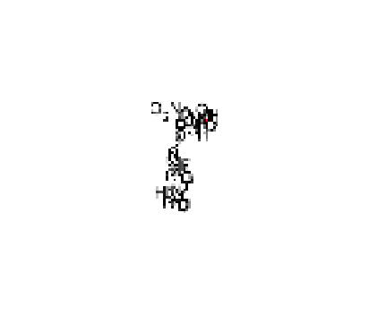 O=C(c1cc(Cc2n[nH]c(=O)c3ccccc23)ccc1F)N1CCN(CCCOc2ccc3c([N+](=O)[O-])ccc(N4C(=O)[C@H]5[C@H]6CC[C@H](C6)N5C4=O)c3c2)CC1